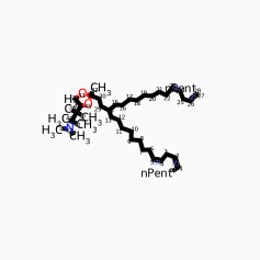 CCCCC/C=C\C/C=C\CCCCCCCCC(CCCCCCCC/C=C\C/C=C\CCCCC)CCC1(C)OCC(C(C)(C)C(C)(C)N(C)C)O1